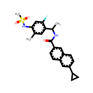 Cc1cc(C(C)NC(=O)c2ccc3cc(C4CC4)ccc3c2)c(F)cc1NS(C)(=O)=O